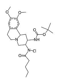 CCCCC(=O)N(Cl)C1CN2CCc3cc(OC)c(OC)cc3C2CC1NC(=O)OC(C)(C)C